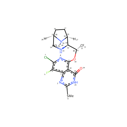 CSc1nc2c(F)c(Cl)nc(O[C@H]([C@H]3NC[C@H]4CC[C@@H]3N4C(=O)O)C(F)(F)F)c2c(=O)[nH]1